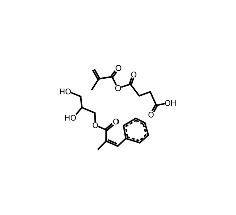 C=C(C)C(=O)OC(=O)CCC(=O)O.CC(=Cc1ccccc1)C(=O)OCC(O)CO